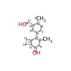 Cc1ccc(-c2c(C)cc(O)c3c2CC3)cc1CO